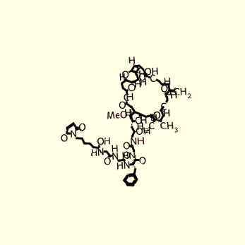 C=C1C[C@@H]2CC[C@@]3(O)CC[C@@H]4C[C@@H]5C4O[C@H]4CC[C@H](CC(=O)C[C@@H]6[C@@H](OC)[C@@H](C[C@H](O)CNC(=O)CNC(=O)[C@H](Cc7ccccc7)NC(=O)CNC(=O)CNC(O)CCCCCN7C(=O)C=CC7=O)O[C@H]6C[C@H]6O[C@@H](CC[C@@H]1O2)C[C@@H](C)C6=C)O[C@@H]4[C@@H]5O3